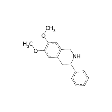 COc1cc2c(cc1OC)CC(c1ccccc1)NC2